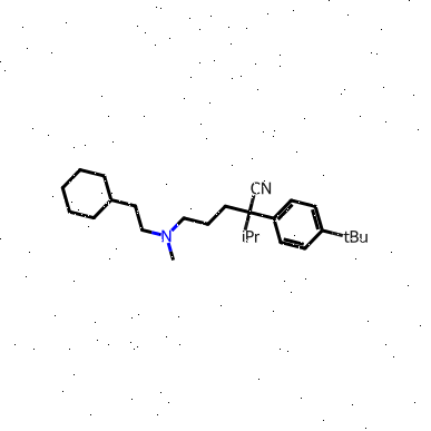 CC(C)C(C#N)(CCCN(C)CCC1CCCCC1)c1ccc(C(C)(C)C)cc1